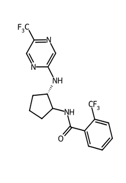 O=C(NC1CCC[C@@H]1Nc1cnc(C(F)(F)F)cn1)c1ccccc1C(F)(F)F